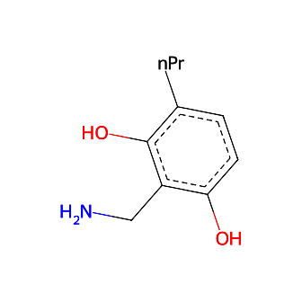 CCCc1ccc(O)c(CN)c1O